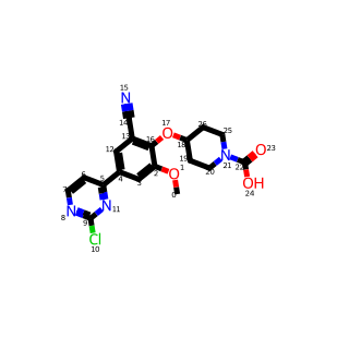 COc1cc(-c2ccnc(Cl)n2)cc(C#N)c1OC1CCN(C(=O)O)CC1